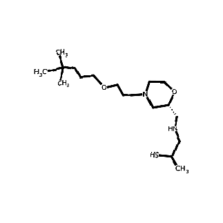 CC(S)CNC[C@@H]1CN(CCOCCCC(C)(C)C)CCO1